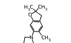 Cc1cc2c(cc1N1CCCC1)OC(C)(C)C2